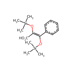 C[Si](C)(C)OC(C(=O)O)=C(O[Si](C)(C)C)c1ccccc1